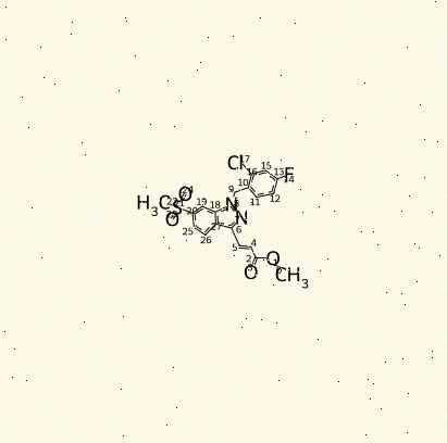 COC(=O)C=Cc1nn(Cc2ccc(F)cc2Cl)c2cc(S(C)(=O)=O)ccc12